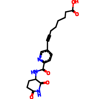 O=C(O)CCCCCC#Cc1ccc(C(=O)NC2CCC(=O)NC2=O)nc1